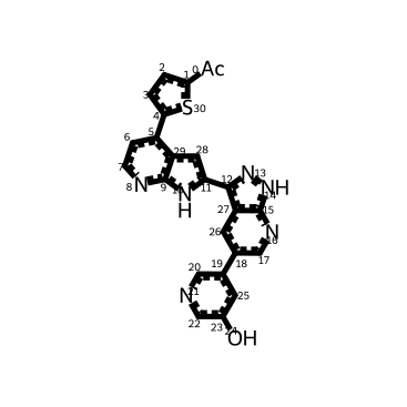 CC(=O)c1ccc(-c2ccnc3[nH]c(-c4n[nH]c5ncc(-c6cncc(O)c6)cc45)cc23)s1